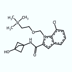 C[Si](C)(C)CCOCn1c(C(=O)NC23CC(O)(C2)C3)cc2cccc(Cl)c21